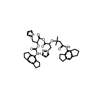 CC(C)(CC(=O)Nc1c2c(cc3c1CCC3)CCC2)OC(Cn1cccn1)C(=O)OC(=O)C(Cn1cccn1)OC(=O)Nc1c2c(cc3c1CCC3)CCC2